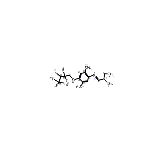 CCN(C)/C=N/c1cc(C)c(OCC(F)(F)C(F)C(F)(F)F)cc1C